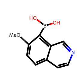 COc1ccc2ccncc2c1B(O)O